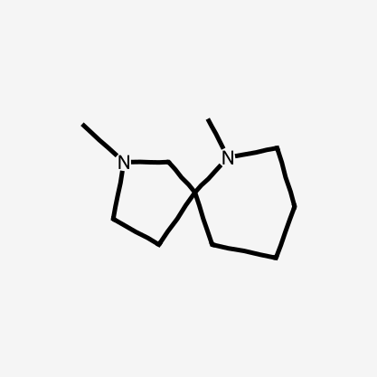 CN1CCC2(CCCCN2C)C1